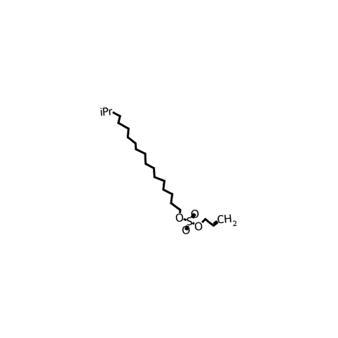 C=CCOS(=O)(=O)OCCCCCCCCCCCCCCCC(C)C